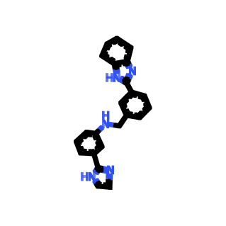 c1cc(NCc2cccc(-c3nc4ccccc4[nH]3)c2)cc(-c2ncc[nH]2)c1